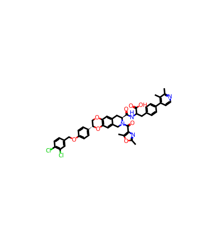 Cc1nc(C(=O)N2Cc3cc4c(cc3C[C@H]2C(=O)NC(Cc2ccc(-c3ccnc(C)c3C)cc2)C(=O)O)OC[C@@H](c2ccc(OCc3ccc(Cl)c(Cl)c3)cc2)O4)c(C)o1